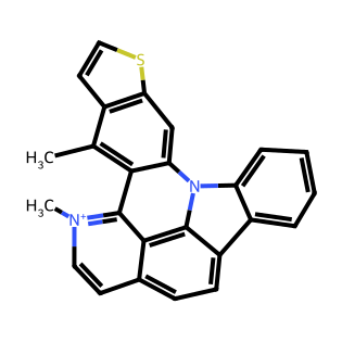 Cc1c2ccsc2cc2c1c1c3c(ccc4c5ccccc5n2c43)cc[n+]1C